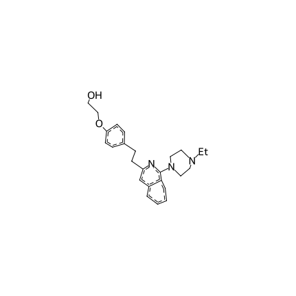 CCN1CCN(c2nc(CCc3ccc(OCCO)cc3)cc3ccccc23)CC1